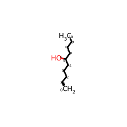 C=CCCCC(O)CCCC